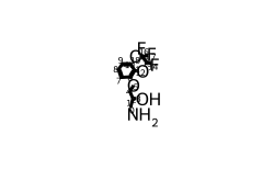 NCC(O)COc1cccc2c1OC(F)C(F)(F)O2